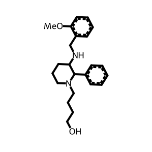 COc1ccccc1CNC1CCCN(CCCCO)C1c1ccccc1